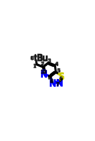 CC(C)(C)Cc1ccc2snnc2n1